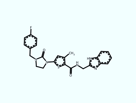 Cc1cc(N2CCN(Cc3ccc(F)cc3)C2=O)sc1C(=O)NCc1nc2ccccc2[nH]1